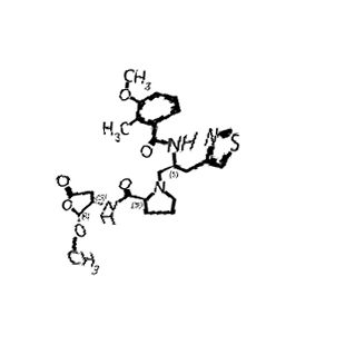 CCO[C@@H]1OC(=O)C[C@@H]1NC(=O)[C@@H]1CCCN1C[C@H](Cc1cscn1)NC(=O)c1cccc(OC)c1C